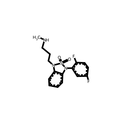 CNCCCN1c2ccccc2N(c2cc(F)ccc2F)S1(=O)=O